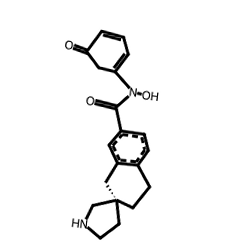 O=C1C=CC=C(N(O)C(=O)c2ccc3c(c2)C[C@@]2(CCNC2)CC3)C1